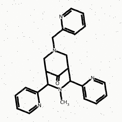 CN1C(c2ccccn2)C2CN(Cc3ccccn3)CC(C2=O)C1c1ccccn1